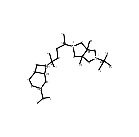 CC(C)N1CCC2CN(C(C)(C)CCC(C)N3CC4(C)CN(C(C)(C)C)CC4(C)C3)C2C1